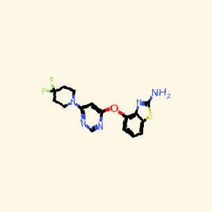 Nc1nc2c(Oc3cc(N4CCC(F)(F)CC4)ncn3)cccc2s1